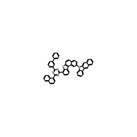 c1ccc(-c2cccc(-c3nc(-c4cccc5ccccc45)nc(-c4cccc5c4oc4ccc6ccc(-n7c8ccccc8c8cc9ccccc9cc87)cc6c45)n3)c2)cc1